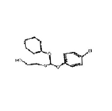 OCCOC(Oc1ccc(Cl)cc1)OC1CCCCC1